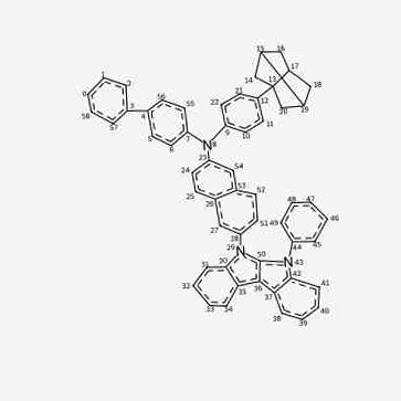 c1ccc(-c2ccc(N(c3ccc(C45CC6CC4CC6C5)cc3)c3ccc4cc(-n5c6ccccc6c6c7ccccc7n(-c7ccccc7)c65)ccc4c3)cc2)cc1